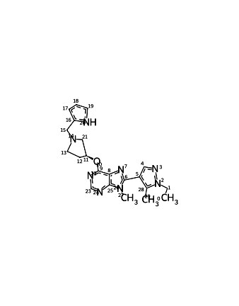 CCn1ncc(-c2nc3c(O[C@H]4CCN(Cc5ccc[nH]5)C4)ncnc3n2C)c1C